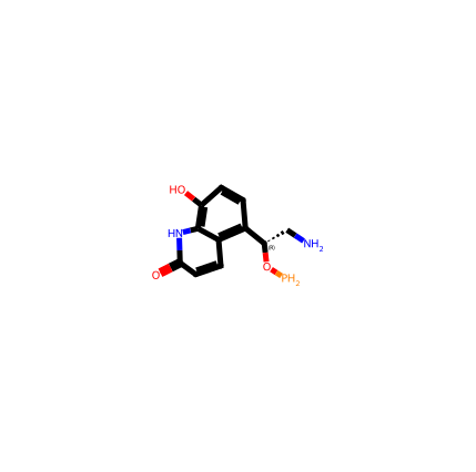 NC[C@H](OP)c1ccc(O)c2[nH]c(=O)ccc12